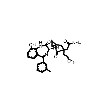 Cc1cccc(C2=N[C@H](NC(=O)C(CCC(F)(F)F)(CC(N)=O)CC3CC3)C(=O)Nc3c(O)cccc32)c1